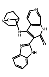 O=c1[nH]c2cnccc2c(NC2CN3CCC2CC3)c1-c1nc2ccccc2[nH]1